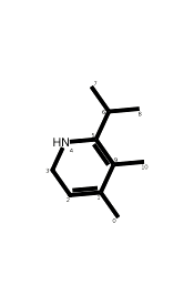 CC1=CCNC(C(C)C)=C1C